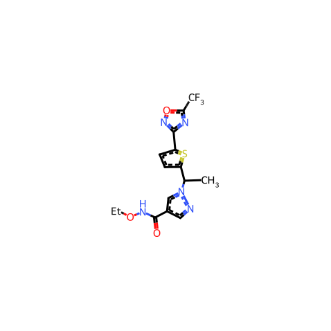 CCONC(=O)c1cnn(C(C)c2ccc(-c3noc(C(F)(F)F)n3)s2)c1